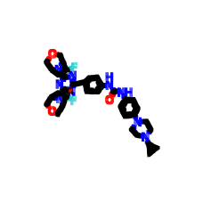 O=C(Nc1ccc(-c2nc(N3C4COCC3C(F)(F)C4)nc(N3C4COCC3C(F)(F)C4)n2)cc1)Nc1ccc(N2CCN(C3CC3)CC2)cc1